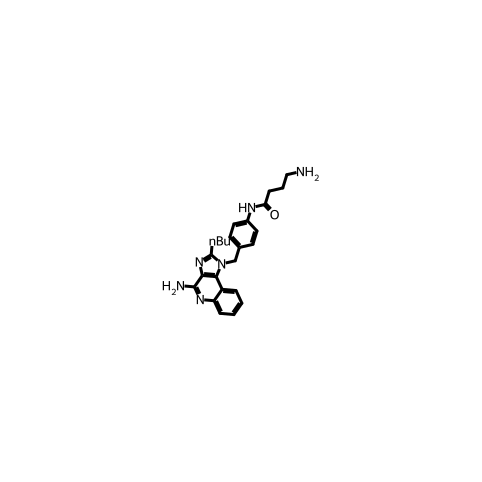 CCCCc1nc2c(N)nc3ccccc3c2n1Cc1ccc(NC(=O)CCCN)cc1